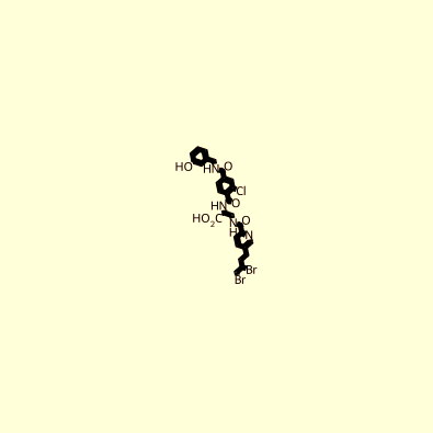 O=C(NCc1cccc(O)c1)c1ccc(C(=O)N[C@@H](CNC(=O)c2ccc(CCC(Br)CBr)cn2)C(=O)O)c(Cl)c1